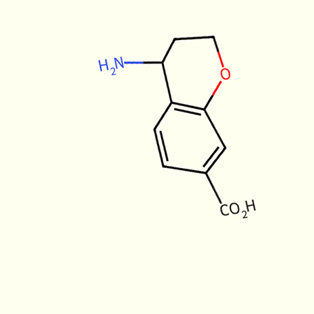 NC1CCOc2cc(C(=O)O)ccc21